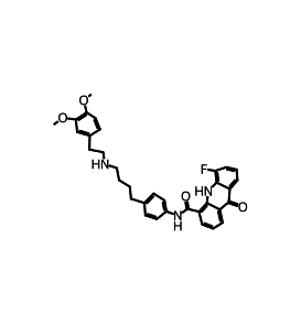 COc1ccc(CCNCCCCc2ccc(NC(=O)c3cccc4c(=O)c5cccc(F)c5[nH]c34)cc2)cc1OC